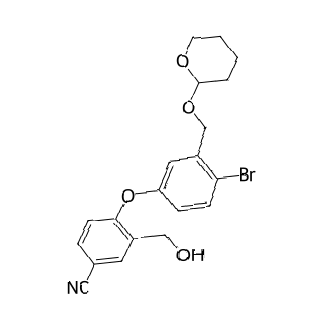 N#Cc1ccc(Oc2ccc(Br)c(COC3CCCCO3)c2)c(CO)c1